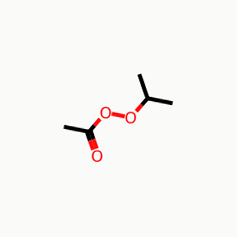 CC(=O)OOC(C)C